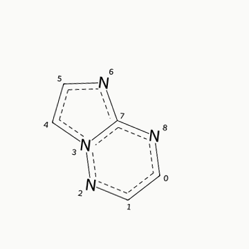 c1cnn2ccnc2n1